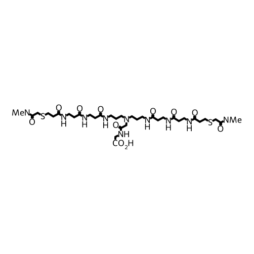 CNC(=O)CSCCC(=O)NCCC(=O)NCCC(=O)NCCCN(CCCNC(=O)CCNC(=O)CCNC(=O)CCSCC(=O)NC)CC(=O)NCC(=O)O